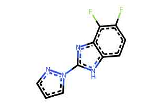 Fc1ccc2[nH]c(-n3cccn3)nc2c1F